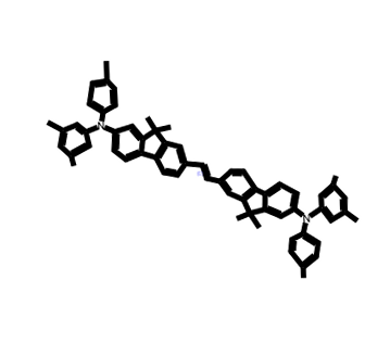 Cc1ccc(N(c2cc(C)cc(C)c2)c2ccc3c(c2)C(C)(C)c2cc(/C=C/c4ccc5c(c4)C(C)(C)c4cc(N(c6ccc(C)cc6)c6cc(C)cc(C)c6)ccc4-5)ccc2-3)cc1